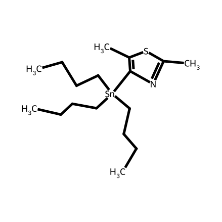 CCC[CH2][Sn]([CH2]CCC)([CH2]CCC)[c]1nc(C)sc1C